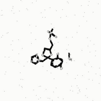 CO.CS(=O)(=O)OCC1COC(Cn2cncn2)(c2ccc(Cl)cc2Cl)O1